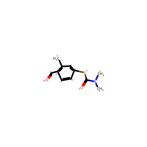 Cc1cc(SC(=O)N(C)C)ccc1C=O